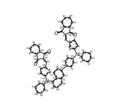 O=C1C(=Cc2ccc(N(c3ccccc3)c3ccc(-c4ccc5c(N(c6ccccc6)c6ccc(C=C7C(=O)c8ccccc8C7=O)s6)cccc5c4)cc3)s2)C(=O)c2ccccc21